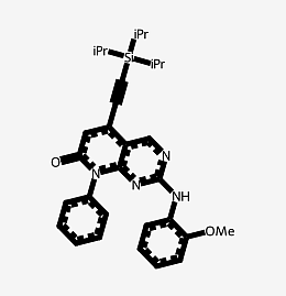 COc1ccccc1Nc1ncc2c(C#C[Si](C(C)C)(C(C)C)C(C)C)cc(=O)n(-c3ccccc3)c2n1